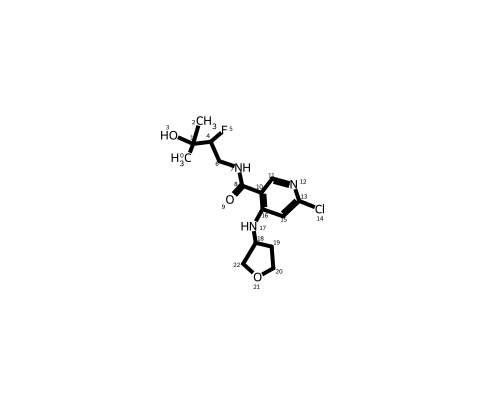 CC(C)(O)C(F)CNC(=O)c1cnc(Cl)cc1NC1CCOC1